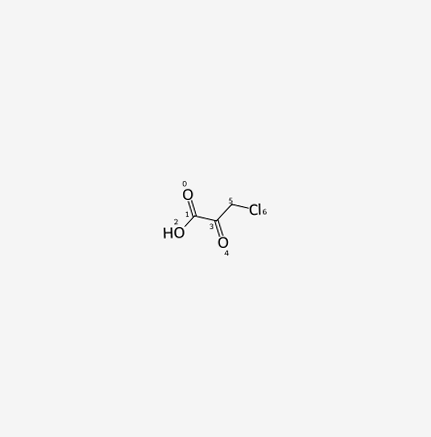 O=C(O)C(=O)CCl